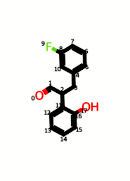 O=CC(Cc1cccc(F)c1)c1ccccc1O